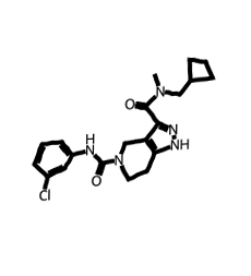 CN(CC1CCC1)C(=O)c1n[nH]c2c1CN(C(=O)Nc1cccc(Cl)c1)CC2